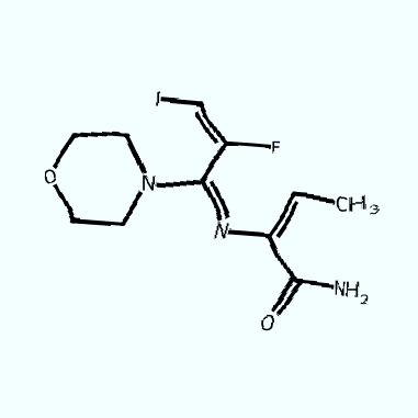 C/C=C(/N=C(\C(F)=C/I)N1CCOCC1)C(N)=O